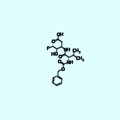 CC(C)[C@H](NC(=O)OCc1ccccc1)C(=O)NC(CC(=O)O)C(O)CF